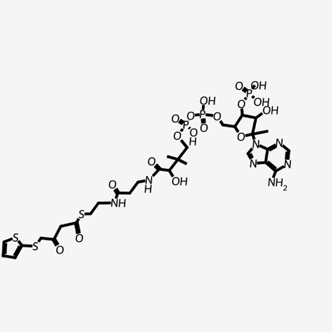 CC(C)(COP(=O)(O)OP(=O)(O)OCC1OC(C)(n2cnc3c(N)ncnc32)C(O)C1OP(=O)(O)O)C(O)C(=O)NCCC(=O)NCCSC(=O)CC(=O)CSc1cccs1